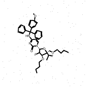 CCCCOC[C@@]1(C(C)F)O[C@@H](n2ccc(NC(c3ccccc3)(c3ccccc3)c3ccc(OC)cc3)nc2=O)C(F)[C@@H]1OCCCC